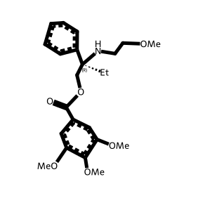 CC[C@@](COC(=O)c1cc(OC)c(OC)c(OC)c1)(NCCOC)c1ccccc1